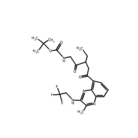 CCC(CC(=O)c1cccc2nc(C)c(NCC(F)(F)F)nc12)C(=O)CNC(=O)OC(C)(C)C